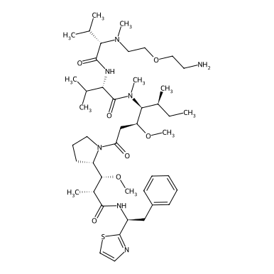 CC[C@H](C)[C@@H]([C@H](CC(=O)N1CCC[C@H]1[C@H](OC)[C@@H](C)C(=O)N[C@@H](Cc1ccccc1)c1nccs1)OC)N(C)C(=O)[C@@H](NC(=O)[C@H](C(C)C)N(C)CCOCCN)C(C)C